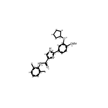 COc1ccc(-c2nc(C(=O)Nc3c(C)cccc3C)c[nH]2)cc1OC1CCCC1